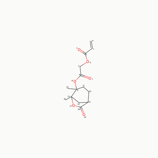 C=CC(=O)OCC(=O)OC1(C)CCC2CC1(C)OC2=O